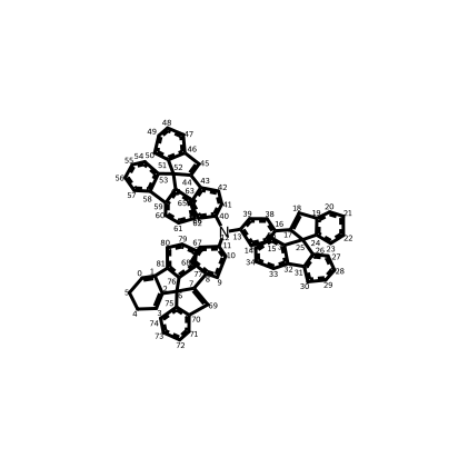 C1=C2C(=CCC1)C1(C(c3ccc(N(c4ccc(C5=Cc6ccccc6C56c5ccccc5-c5ccccc56)cc4)c4ccc(C5=Cc6ccccc6C56c5ccccc5-c5ccccc56)cc4)cc3)=Cc3ccccc31)c1ccccc12